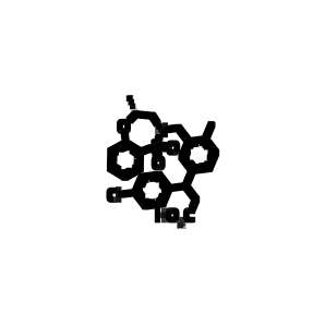 Cc1ccc(C(CC(=O)O)c2ccc(Cl)cc2)cc1CN1C[C@@H](C)Oc2ccccc2S1(=O)=O